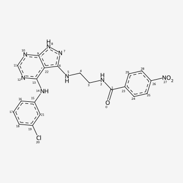 O=C(NCCNc1n[nH]c2ncnc(Nc3cccc(Cl)c3)c12)c1ccc([N+](=O)[O-])cc1